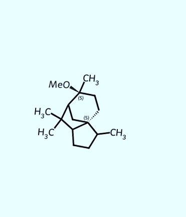 CO[C@@]1(C)CC[C@@]23CC1C(C)(C)C2CCC3C